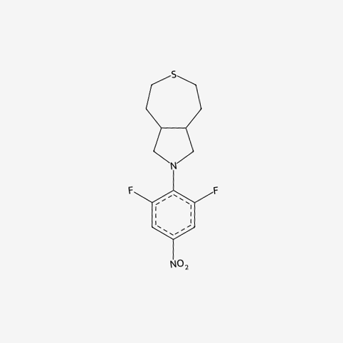 O=[N+]([O-])c1cc(F)c(N2CC3CCSCCC3C2)c(F)c1